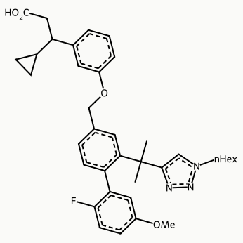 CCCCCCn1cc(C(C)(C)c2cc(COc3cccc(C(CC(=O)O)C4CC4)c3)ccc2-c2cc(OC)ccc2F)nn1